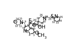 COc1ccc2ncc(CN3CCOCC3)c([C@@H](F)CCC3(C(=O)O)CCN(CCSc4ccccn4)CC3)c2c1